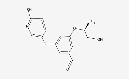 C[C@@H](CO)Oc1cc(C=O)cc(Oc2ccc(S)nc2)c1